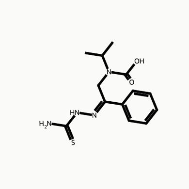 CC(C)N(C/C(=N\NC(N)=S)c1ccccc1)C(=O)O